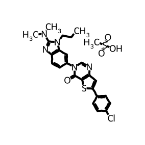 CCCn1c(N(C)C)nc2ccc(-n3cnc4cc(-c5ccc(Cl)cc5)sc4c3=O)cc21.CS(=O)(=O)O